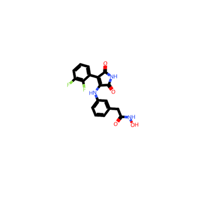 O=C(Cc1cccc(NC2=C(c3cccc(F)c3F)C(=O)NC2=O)c1)NO